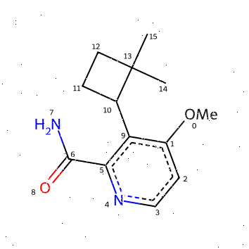 COc1ccnc(C(N)=O)c1C1CCC1(C)C